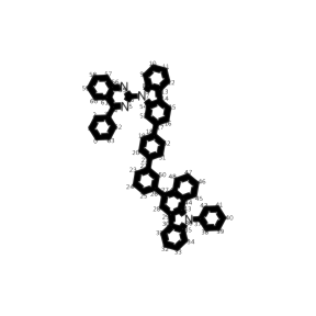 c1ccc(-c2nc(-n3c4ccccc4c4ccc(-c5ccc(-c6cccc(-c7cc8c9ccccc9n(-c9ccccc9)c8c8ccccc78)c6)cc5)cc43)nc3ccccc23)cc1